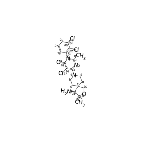 Cc1nc(N2CCC3(CC2)CO[C@@H](C)[C@H]3N)c(Cl)c(=O)n1C1=C(Cl)[C@H](Cl)CC=C1